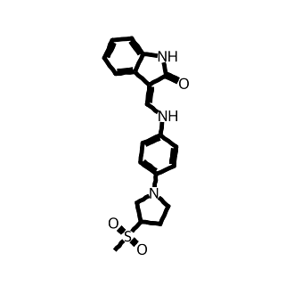 CS(=O)(=O)C1CCN(c2ccc(NC=C3C(=O)Nc4ccccc43)cc2)C1